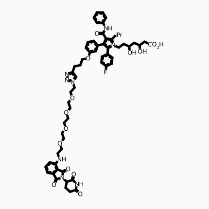 CC(C)c1c(C(=O)Nc2ccccc2)c(-c2cccc(OCCCc3cn(CCOCCOCCOCCOCCNc4cccc5c4C(=O)N(C4CCC(=O)NC4=O)C5=O)nn3)c2)c(-c2ccc(F)cc2)n1CCC(O)CC(O)CC(=O)O